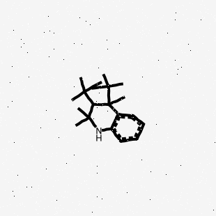 CC(C)(C)C1C(C)(C)Nc2ccccc2C1(C)C(C)(C)C